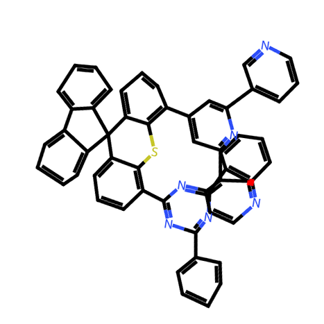 c1ccc(-c2nc(-c3ccccc3)nc(-c3cccc4c3Sc3c(-c5cc(-c6cccnc6)nc(-c6cccnc6)c5)cccc3C43c4ccccc4-c4ccccc43)n2)cc1